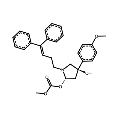 COC(=O)O[C@H]1C[C@@](O)(c2ccc(OC)cc2)CN1CCC=C(c1ccccc1)c1ccccc1